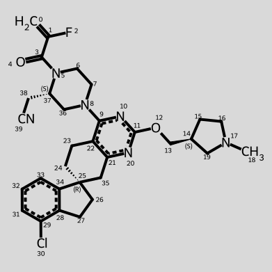 C=C(F)C(=O)N1CCN(c2nc(OC[C@H]3CCN(C)C3)nc3c2CC[C@@]2(CCc4c(Cl)cccc42)C3)C[C@@H]1CC#N